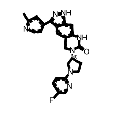 Cc1cc(-c2n[nH]c3cc4c(cc23)CN([C@@H]2CCN(c3ccc(F)cn3)C2)C(=O)N4)ccn1